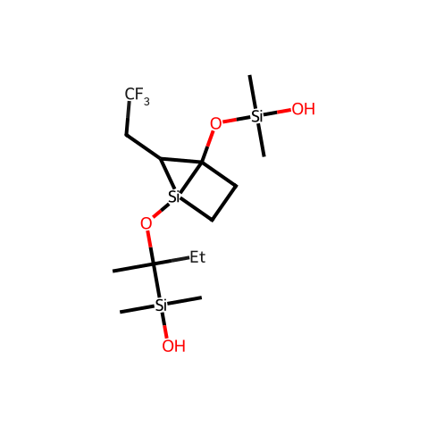 CCC(C)(O[Si]12CCC1(O[Si](C)(C)O)C2CC(F)(F)F)[Si](C)(C)O